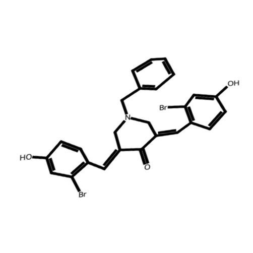 O=C1/C(=C/c2ccc(O)cc2Br)CN(Cc2ccccc2)C/C1=C\c1ccc(O)cc1Br